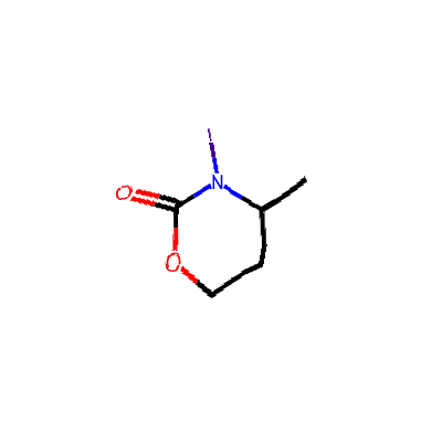 CC1CCOC(=O)N1I